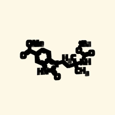 COC(=O)c1ccc2c(c1)[nH]c(=O)n2CCC(C)(C)NC(=O)OC(C)(C)C